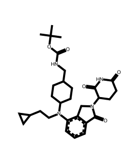 CC(C)(C)OC(=O)NCC1CCC(N(CCC2CC2)c2cccc3c2CN(C2CCC(=O)NC2=O)C3=O)CC1